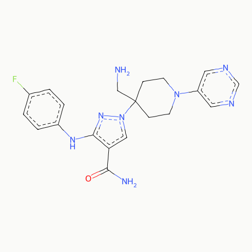 NCC1(n2cc(C(N)=O)c(Nc3ccc(F)cc3)n2)CCN(c2cncnc2)CC1